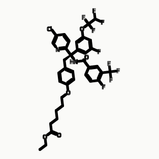 CCOC(=O)CCCCCOc1ccc(C[C@](NC(=O)c2ccc(F)c(C(F)(F)F)c2)(c2cc(F)cc(OC(F)(F)C(F)F)c2)c2ccc(Cl)cn2)cc1